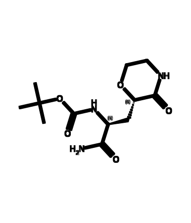 CC(C)(C)OC(=O)N[C@@H](C[C@@H]1OCCNC1=O)C(N)=O